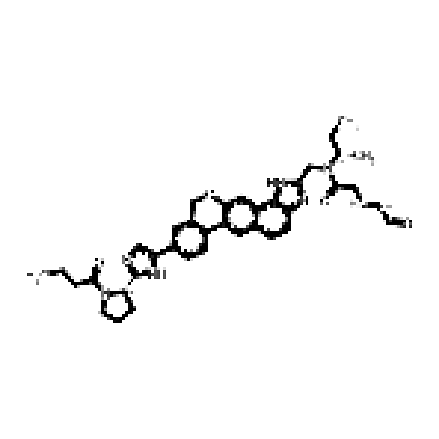 CCCC(=O)N1CCC[C@H]1c1ncc(-c2ccc3c(c2)COc2cc4c(ccc5nc(CN(C(=O)CNPC=O)[C@@H](C)CC)[nH]c54)cc2-3)[nH]1